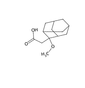 COC1(CC(=O)O)C2CC3CC(C2)CC1C3